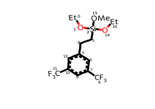 CCO[Si](CCc1cc(C(F)(F)F)cc(C(F)(F)F)c1)(OC)OCC